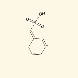 O=S(=O)(O)C=C1C=[C]C=CC1